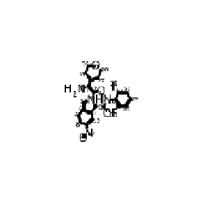 N[C@H](C(=O)N1Cc2ccc(N=O)cc2[C@H]1C(=O)Nc1c(F)cccc1F)C1CCOCC1